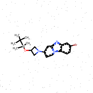 CC(C)(C)[Si](C)(C)OC1CN(c2ccn3c(c2)nc2cc(Br)ccc23)C1